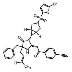 C/C(Cl)=C/CC1(Cc2ccncc2)N/C(=C\C(=O)c2ccc(C#N)cc2)N([C@H]2[C@@H]3CN(S(=O)(=O)c4ccc(Br)s4)C[C@@H]32)C1=O